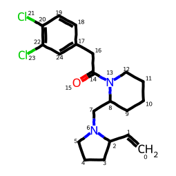 C=CC1CCCN1CC1CCCCN1C(=O)Cc1ccc(Cl)c(Cl)c1